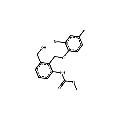 COC(=O)Nc1cccc(CO)c1COc1ccc(C)cc1Br